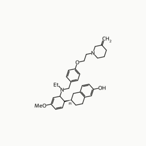 C=C1CCCN(CCOc2ccc(CN(CC)C3C=C(OC)C=CC3[C@@H]3CCc4cc(O)ccc4C3)cc2)C1